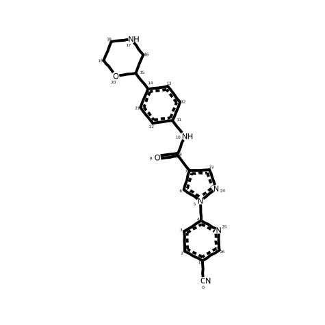 N#Cc1ccc(-n2cc(C(=O)Nc3ccc(C4CNCCO4)cc3)cn2)nc1